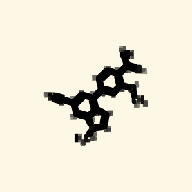 COc1cc(-c2cc(C#N)cc3c2ccn3C)ccc1C(=O)O